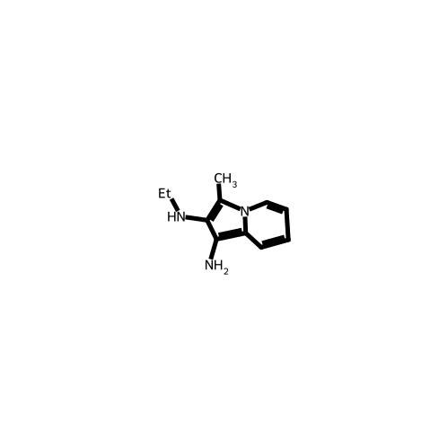 CCNc1c(N)c2ccccn2c1C